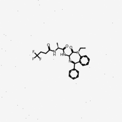 CCN1C(=O)C(NC(=O)[C@H](C)NC(=O)CCC(F)(F)F)N=C(c2ccccc2)c2ccccc21